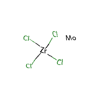 [Cl][Zr]([Cl])([Cl])[Cl].[Mo]